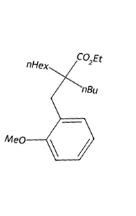 CCCCCCC(CCCC)(Cc1ccccc1OC)C(=O)OCC